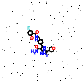 COc1ccc(F)cc1C(=O)NCc1ccc(-c2nn([C@H](C)C3CCOCC3)c(N)c2C(N)=O)cc1